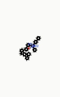 CC1(C)C2=CC3c4ccccc4C4(CCCCC4)C3CC2c2c(-c3ccc4oc5c(C6=NC(C7=CC=CCC7)NC(c7ccc(-c8ccccc8)cc7)N6)cccc5c4c3)cccc21